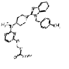 COC(=O)OCOc1ccnc(N(C)C2CCN(c3nc4c(n3Cc3ccc(C)cc3)=CCCC=4)CC2)n1